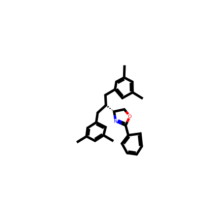 Cc1cc(C)cc(C[C](Cc2cc(C)cc(C)c2)[C@@H]2COC(c3ccccc3)=N2)c1